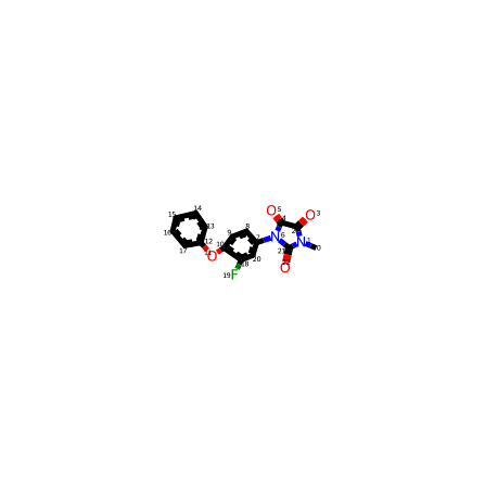 CN1C(=O)C(=O)N(c2ccc(Oc3ccccc3)c(F)c2)C1=O